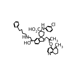 C[C@@H](COc1ccnc2c1[C@H](C)CCC2)C[C@H]1Cc2ccc([C@@H](O)CNCCCCc3ccccc3)cc2C12CCC(Nc1cccc(Cl)c1)(C(=O)O)CC2